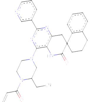 C=CC(=O)N1CCN(c2nc(-c3cccnc3)nc3c2NC(=O)C2(CCCc4ccccc42)C3)CC1CC#N